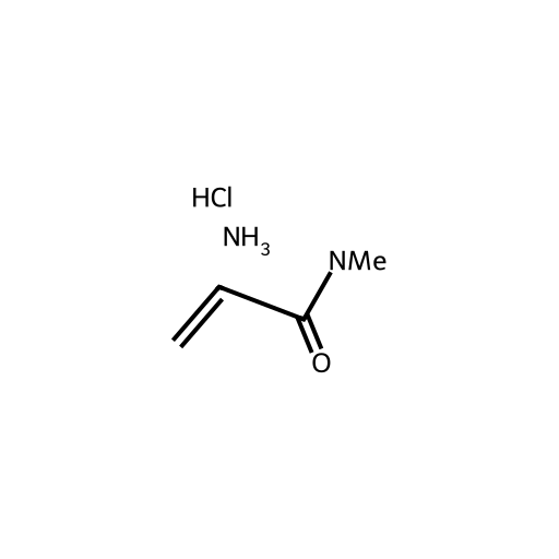 C=CC(=O)NC.Cl.N